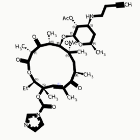 C#CCCN[C@H]1C[C@@H](C)O[C@@H](O[C@@H]2[C@@H](C)C(=O)[C@@H](C)C(=O)O[C@H](CC)[C@@](C)(OC(=O)n3ccnc3)/C=C(\C)C(=O)[C@H](C)C[C@@]2(C)OC)[C@@H]1OC(C)=O